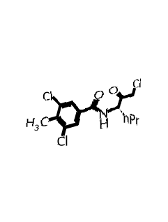 CCC[C@H](NC(=O)c1cc(Cl)c(C)c(Cl)c1)C(=O)CCl